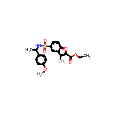 CCOC(=O)c1oc2ccc(S(=O)(=O)NC(C)c3ccc(OC)cc3)cc2c1C